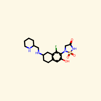 O=C1CN(c2c(O)cc3c(c2F)CC(NCC2CCCCN2)CC3)S(=O)(=O)N1